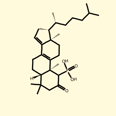 CC(C)CCC[C@@H](C)[C@H]1CC=C2C3=C(CC[C@@]21C)[C@@]1(C)C(P(=O)(O)O)C(=O)CC(C)(C)[C@@H]1CC3